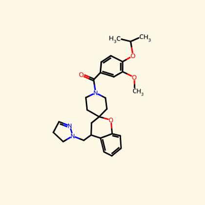 COc1cc(C(=O)N2CCC3(CC2)CC(CN2CCC=N2)c2ccccc2O3)ccc1OC(C)C